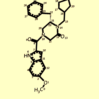 COc1ccc2[nH]c(C(=O)N3CC(=O)N(CC4CCCC4)[C@@H](Cc4ccccc4)C3)cc2c1